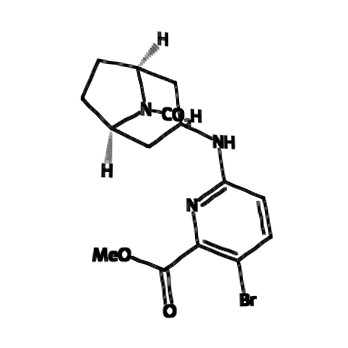 COC(=O)c1nc(NC2C[C@H]3CC[C@@H](C2)N3C(=O)O)ccc1Br